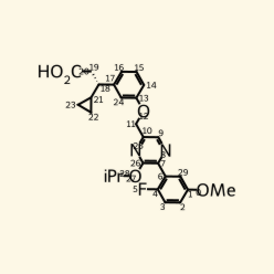 COc1ccc(F)c(-c2ncc(COc3cccc([C@@H](CC(=O)O)C4CC4)c3)nc2OC(C)C)c1